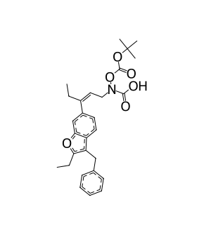 CC/C(=C/CN(OC(=O)OC(C)(C)C)C(=O)O)c1ccc2c(Cc3ccccc3)c(CC)oc2c1